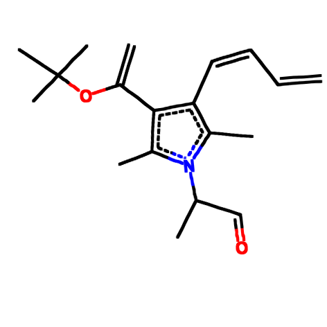 C=C/C=C\c1c(C(=C)OC(C)(C)C)c(C)n(C(C)C=O)c1C